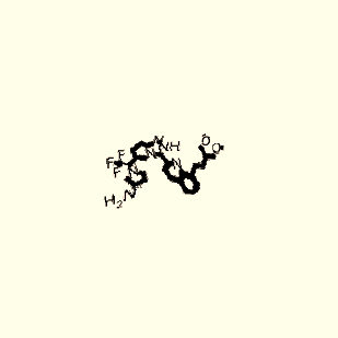 COCC(CCc1cccc2ccc(C3NN=C4C=CC([C@@H](N5CC[C@H](N)C5)C(F)(F)F)=CN43)nc12)COC